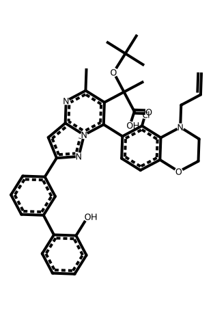 C=CCN1CCOc2ccc(-c3c(C(C)(OC(C)(C)C)C(=O)O)c(C)nc4cc(-c5cccc(-c6ccccc6O)c5)nn34)c(Cl)c21